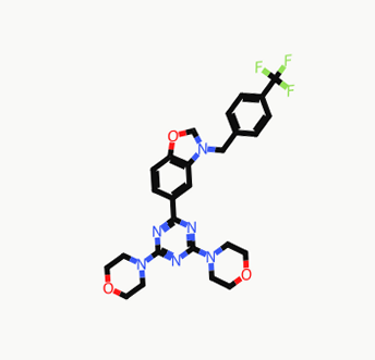 FC(F)(F)c1ccc(CN2COc3ccc(-c4nc(N5CCOCC5)nc(N5CCOCC5)n4)cc32)cc1